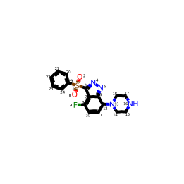 O=S(=O)(C1=NN=C2C1=C(F)C=CC2N1CCNCC1)c1ccccc1